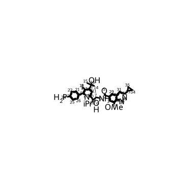 COc1cc(C(=O)NC[C@](O)(c2cc(C(C)(C)O)c(I)c(-c3ccc(P)cc3)n2)C(C)C)cc2cc(C3CC3)nnc12